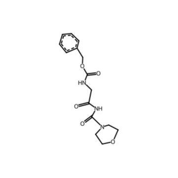 O=C(CNC(=O)OCc1ccccc1)NC(=O)N1CCOCC1